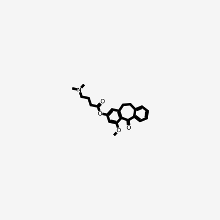 COc1cc(OC(=O)CCCN(C)C)cc2c1C(=O)c1ccccc1CC2